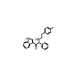 Cc1ccc(CCNC(C(=O)c2c[nH]c3ccccc23)c2ccccc2)cc1